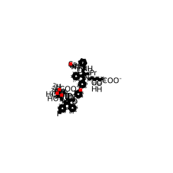 CC(C)c1c(C(=O)Nc2ccccc2)c(-c2ccccc2)c(-c2ccc(F)cc2)n1CC[C@@H](O)C[C@@H](O)CC(=O)[O-].[2H]O[C@@]([2H])(C([2H])([2H])C(=O)[O-])C([2H])(O)[C@H](O)CCn1c(-c2ccc(F)cc2)c(-c2ccccc2)c(C(=O)Nc2ccccc2)c1C(C)C.[Ca+2].[NaH].[NaH]